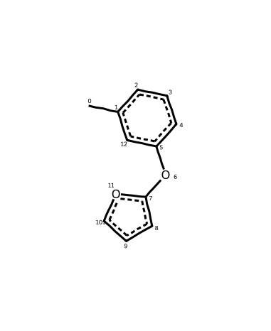 Cc1cccc(Oc2cc[c]o2)c1